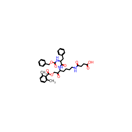 Cc1cccc(C)c1C(=O)OCC(=O)C(CCCCNC(=O)CCC(=O)O)NC(=O)C(Cc1ccccc1)NC(=O)OCc1ccccc1